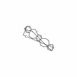 c1c2c3cc4c1CCc1cc5c(cc1CC4)CCc1cc(c(cc1CC5)CC2)CC3